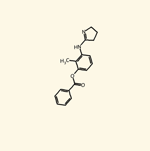 Cc1c(NC2=NCCC2)cccc1OC(=O)c1ccccc1